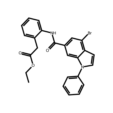 CCOC(=O)Cc1ccccc1NC(=O)c1cc(Br)c2ccn(-c3ccccc3)c2c1